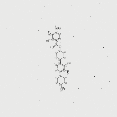 CCCCc1ccc(C(=O)OC2CCC(c3ccc(C4CCC(CCC)CC4)c(F)c3F)CC2)c(F)c1F